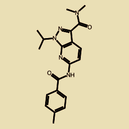 Cc1ccc(C(=O)Nc2ccc3c(C(=O)N(C)C)nn(C(C)C)c3n2)cc1